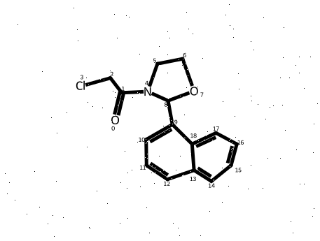 O=C(CCl)N1CCOC1c1cccc2ccccc12